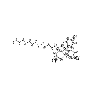 CCCCCCCCCCCCCCCC[Si](c1ccc(Cl)cc1)(c1ccc(Cl)cc1)c1ccc(Cl)cc1